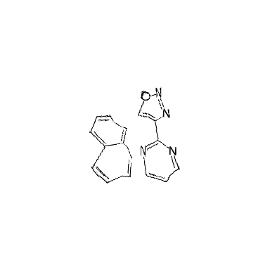 c1ccc2ccccc2c1.c1cnc(-c2conn2)nc1